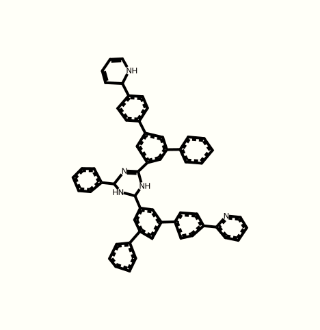 C1=CNC(c2ccc(-c3cc(C4=NC(c5ccccc5)NC(c5cc(-c6ccccc6)cc(-c6ccc(-c7ccccn7)cc6)c5)N4)cc(-c4ccccc4)c3)cc2)C=C1